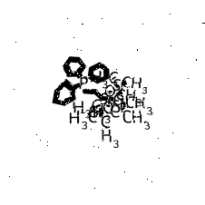 C[Si](C)(C)O[Si](CCC[P+](c1ccccc1)(c1ccccc1)c1ccccc1)(O[Si](C)(C)C)O[Si](C)(C)C.[I-]